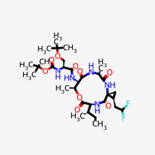 CC[C@H](C)[C@@H]1NC(=O)[C@]2(C[C@H]2CC(F)F)NC(=O)[C@H](C)NC(=O)[C@H](NC(=O)[C@H](COC(C)(C)C)NC(=O)OC(C)(C)C)[C@H](C)OC1=O